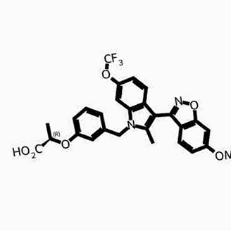 COc1ccc2c(-c3c(C)n(Cc4cccc(O[C@H](C)C(=O)O)c4)c4cc(OC(F)(F)F)ccc34)noc2c1